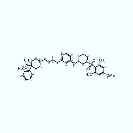 COc1cc(C)c(S(=O)(=O)N2CCCC(Oc3ccnc(CNCCN4CCC(c5ccccc5)(N(C)C)CC4)n3)C2)c(C)c1